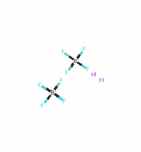 F[B-](F)(F)F.F[B-](F)(F)F.I.I